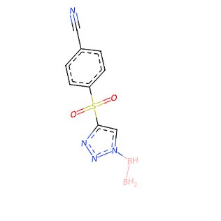 BBn1cc(S(=O)(=O)c2ccc(C#N)cc2)nn1